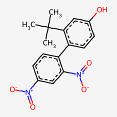 CC(C)(C)c1cc(O)ccc1-c1ccc([N+](=O)[O-])cc1[N+](=O)[O-]